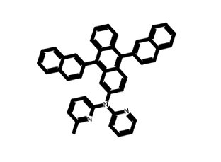 Cc1cccc(N(c2ccc3c(-c4ccc5ccccc5c4)c4ccccc4c(-c4ccc5ccccc5c4)c3c2)c2ccccn2)n1